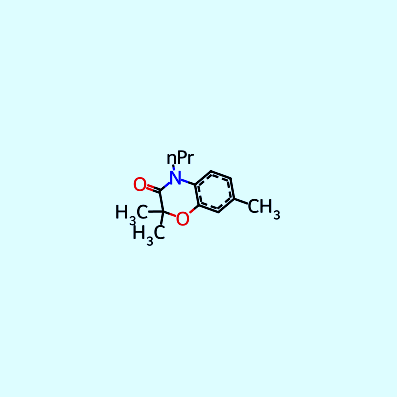 CCCN1C(=O)C(C)(C)Oc2cc(C)ccc21